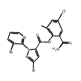 Cc1cc(Cl)cc(C(N)=O)c1NC(=O)c1cc(Br)nn1-c1ncccc1Br